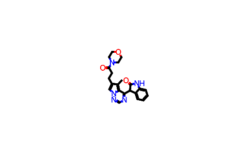 Cc1c(CCC(=O)N2CCOCC2)cn2ncnc(C3C(=O)Nc4ccccc43)c12